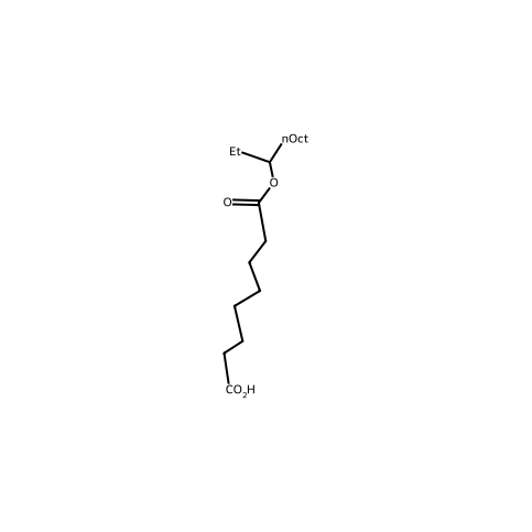 CCCCCCCCC(CC)OC(=O)CCCCCCC(=O)O